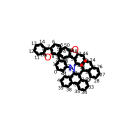 c1cc(-c2cccc3c2oc2ccccc23)cc(N(c2c(-c3cccc4ccccc34)c3ccccc3c3ccccc23)c2cccc3oc4ccccc4c23)c1